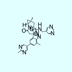 CC(=O)C1(CC(=O)N2[C@H](C(=O)NCc3cncnc3)C[C@@]3(C)C[C@@H]23)N=Nc2c(C)cc(-c3cnc(C)nc3)cc21